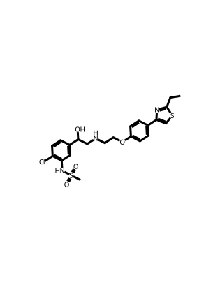 CCc1nc(-c2ccc(OCCNCC(O)c3ccc(Cl)c(NS(C)(=O)=O)c3)cc2)cs1